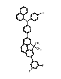 CC1(C)c2cc(-c3ccc(N(c4ccc(C#N)cc4)c4cccc5ccccc45)cc3)cc3ccc4cc(-c5cc(F)cc(F)c5)cc1c4c23